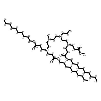 CCCCCCCCCCOC(=O)CCN(CCC(=O)OCCCCCCCCCC)CCN(C)CCN(CCC)CCN(CCC(=O)OC)CCC(=O)OCCCCCCCCCC